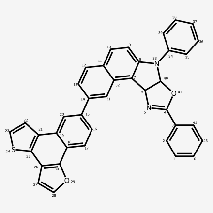 c1ccc(C2=NC3c4c(ccc5ccc(-c6ccc7c(c6)c6ccsc6c6ccoc76)cc45)N(c4ccccc4)C3O2)cc1